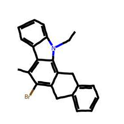 CCn1c2ccccc2c2c(C)c(Br)c3c(c21)Cc1ccccc1C3